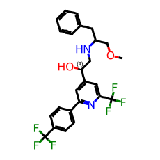 COCC(Cc1ccccc1)NC[C@H](O)c1cc(-c2ccc(C(F)(F)F)cc2)nc(C(F)(F)F)c1